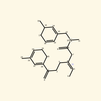 C=C(CC/C(=C\C)CC(=C)N(C)CC1=CC(C)CC=C1)C1=CC(C)=CCC1